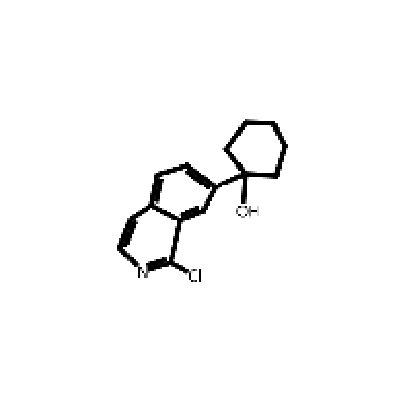 OC1(c2ccc3ccnc(Cl)c3c2)CCCCC1